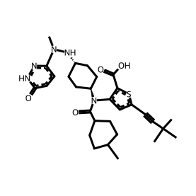 CC1CCC(C(=O)N(c2cc(C#CC(C)(C)C)sc2C(=O)O)[C@H]2CC[C@H](NN(C)c3ccc(=O)[nH]n3)CC2)CC1